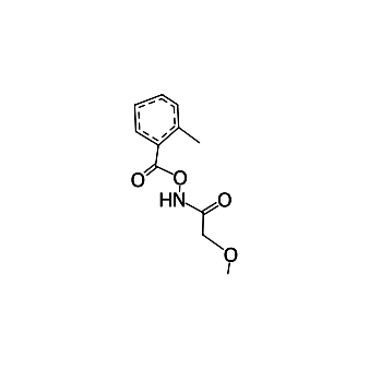 COCC(=O)NOC(=O)c1ccccc1C